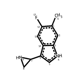 Cc1cc2[nH]cc(C3CN3)c2cc1F